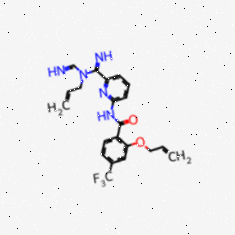 C=CCOc1cc(C(F)(F)F)ccc1C(=O)Nc1cccc(C(=N)N(C=N)CC=C)n1